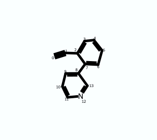 C#Cc1ccccc1-c1cccnc1